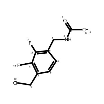 CC(=O)NCc1ccc(CCl)c(F)c1F